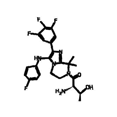 C[C@H](O)[C@H](N)C(=O)N1CCn2c(nc(-c3cc(F)c(F)c(F)c3)c2Nc2ccc(F)cc2)C1(C)C